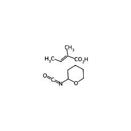 CC=C(C)C(=O)O.O=C=NC1CCCCO1